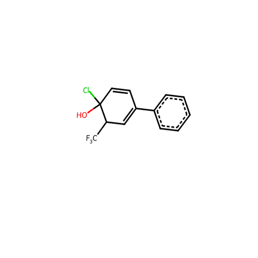 OC1(Cl)C=CC(c2ccccc2)=CC1C(F)(F)F